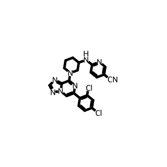 N#Cc1ccc(NC2CCCN(c3nc(-c4ccc(Cl)cc4Cl)cn4ncnc34)C2)nc1